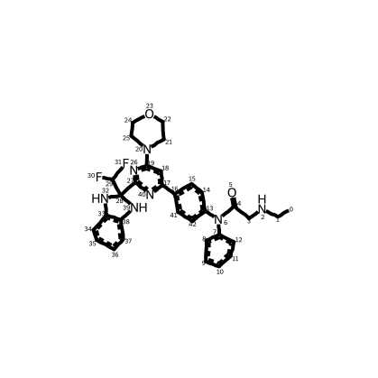 CCNCC(=O)N(c1ccccc1)c1ccc(-c2cc(N3CCOCC3)nc(C3(C(F)F)Nc4ccccc4N3)n2)cc1